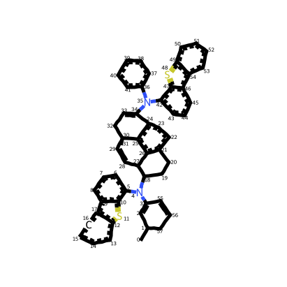 CC1C=C(N(c2cccc3c2sc2ccccc23)C2CCc3ccc4c5c3C2C=CC5(C)CC=C4N(c2ccccc2)c2cccc3c2sc2ccccc23)C=CC1